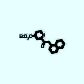 CCOC(=O)c1ccnc(C(=O)Cc2cccc3ccccc23)c1